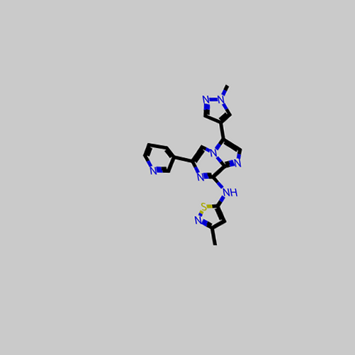 Cc1cc(Nc2nc(-c3cccnc3)cn3c(-c4cnn(C)c4)cnc23)sn1